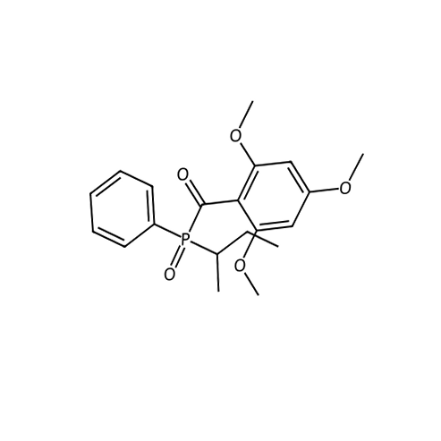 CCC(C)P(=O)(C(=O)c1c(OC)cc(OC)cc1OC)c1ccccc1